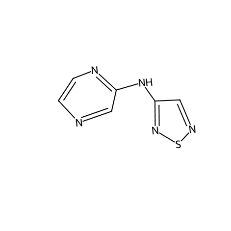 c1cnc(Nc2cnsn2)cn1